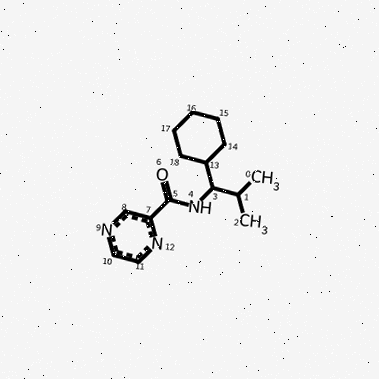 CC(C)C(NC(=O)c1cnccn1)C1CCCCC1